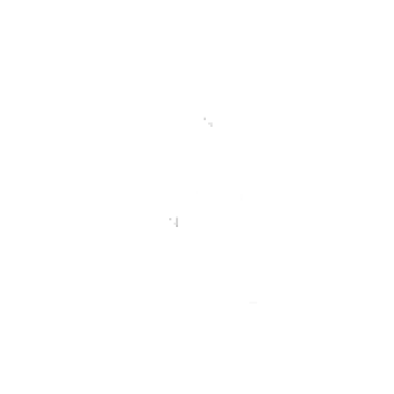 CCC(C)NC(=O)c1ccccn1